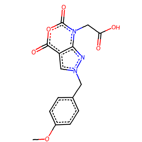 COc1ccc(Cn2cc3c(=O)oc(=O)n(CC(=O)O)c3n2)cc1